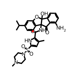 Cc1cc(S(=O)(=O)N2CCN(C)CC2)[nH]c1C(=O)NC12C(=O)c3c(N)cccc3C1(O)Oc1cc(C(C)C)ccc12